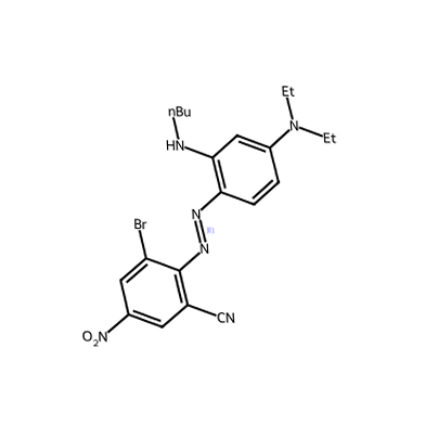 CCCCNc1cc(N(CC)CC)ccc1/N=N/c1c(Br)cc([N+](=O)[O-])cc1C#N